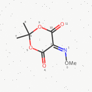 CON=C1C(=O)OC(C)(C)OC1=O